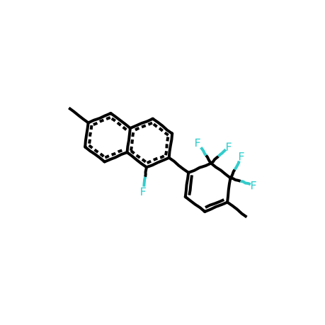 CC1=CC=C(c2ccc3cc(C)ccc3c2F)C(F)(F)C1(F)F